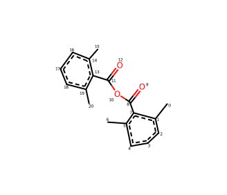 Cc1cccc(C)c1C(=O)OC(=O)c1c(C)cccc1C